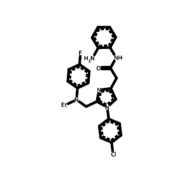 CCN(Cc1nc(CC(=O)Nc2ccccc2N)cn1-c1ccc(Cl)cc1)c1ccc(F)cc1